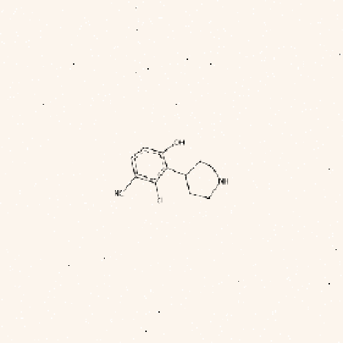 N#Cc1ccc(O)c(C2CCNCC2)c1Cl